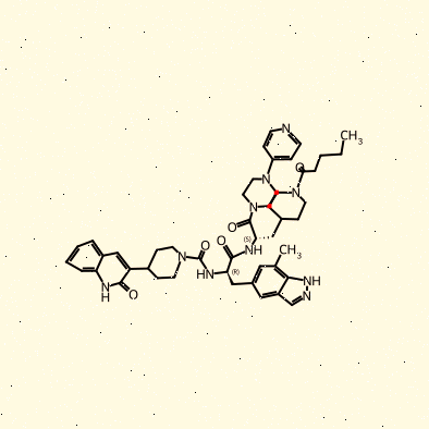 CCCCC(=O)N1CCC(C[C@H](NC(=O)[C@@H](Cc2cc(C)c3[nH]ncc3c2)NC(=O)N2CCC(c3cc4ccccc4[nH]c3=O)CC2)C(=O)N2CCN(c3ccncc3)CC2)CC1